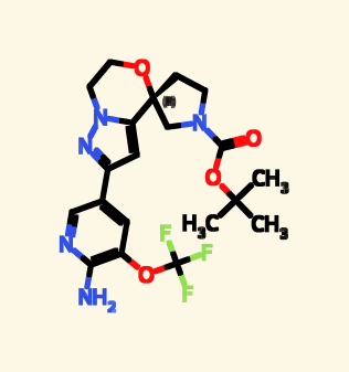 CC(C)(C)OC(=O)N1CC[C@]2(C1)OCCn1nc(-c3cnc(N)c(OC(F)(F)F)c3)cc12